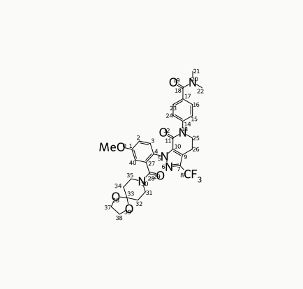 COc1ccc(-n2nc(C(F)(F)F)c3c2C(=O)N(c2ccc(C(=O)N(C)C)cc2)CC3)c(C(=O)N2CCC3(CC2)OCCO3)c1